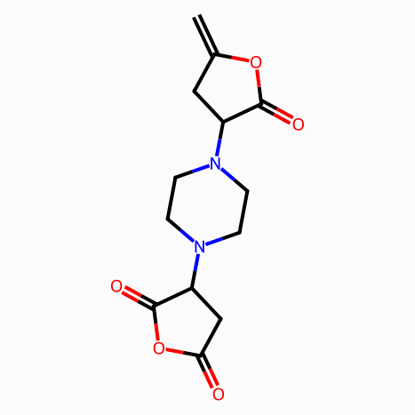 C=C1CC(N2CCN(C3CC(=O)OC3=O)CC2)C(=O)O1